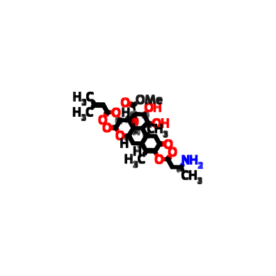 COC(=O)[C@@]12OC[C@]34C([C@@H](O)[C@@H]1O)[C@@]1(C)CC(=O)C(OC(=O)C[C@H](C)N)=C(C)[C@@H]1C[C@H]3OC(=O)[C@H](OC(=O)C=C(C)C)[C@@H]24